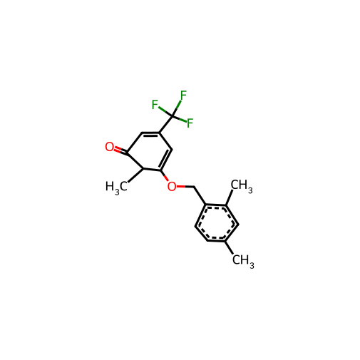 Cc1ccc(COC2=CC(C(F)(F)F)=CC(=O)C2C)c(C)c1